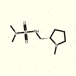 CN1CCC[C@H]1CNS(=O)(=O)N(C)C